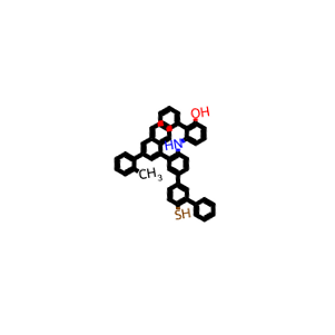 Cc1ccccc1-c1cc(-c2cc(-c3ccc(S)c(-c4ccccc4)c3)ccc2Nc2cccc(O)c2-c2ccccc2)c2ccccc2c1